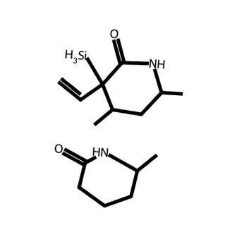 C=CC1([SiH3])C(=O)NC(C)CC1C.CC1CCCC(=O)N1